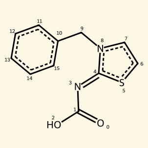 O=C(O)N=c1sccn1Cc1ccccc1